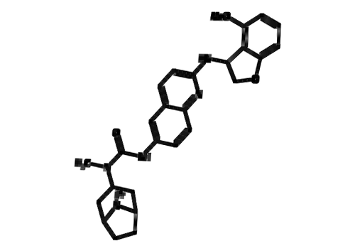 COc1cccc2c1C(Nc1ccc3cc(NC(=O)N(C)C4CC5CCC(C4)N5C(C)C)ccc3n1)CO2